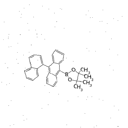 CC1(C)OB(c2c3ccccc3c(-c3cccc4ccccc34)c3ccccc23)OC1(C)C